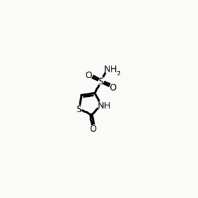 NS(=O)(=O)c1csc(=O)[nH]1